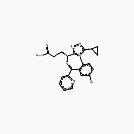 COC(=O)CC[C@@H]1N=C(c2ccccn2)c2cc(Br)ccc2-n2c(C3CC3)nnc21